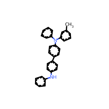 Cc1cccc(N(c2ccccc2)c2ccc(-c3ccc(Nc4ccccc4)cc3)cc2)c1